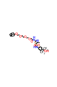 Cc1nc(NC(=O)COCCOCCOCCOC23CC4CC(C2)C(C4)C3)sc1S(=O)(=O)Nc1ccc(C(O)(C(F)(F)F)C(F)(F)F)cc1